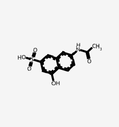 CC(=O)Nc1ccc2c(O)cc(S(=O)(=O)O)cc2c1